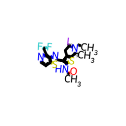 CCN1[C@H](I)Cc2c(sc(NC(C)=O)c2-c2nc3c(C(F)F)nccc3s2)[C@H]1C